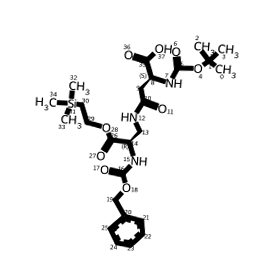 CC(C)(C)OC(=O)N[C@@H](CC(=O)NC[C@@H](NC(=O)OCc1ccccc1)C(=O)OCC[Si](C)(C)C)C(=O)O